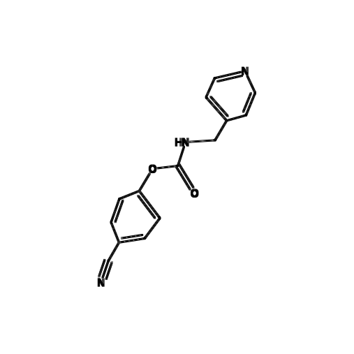 N#Cc1ccc(OC(=O)NCc2ccncc2)cc1